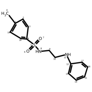 Cc1ccc(S(=O)(=O)NCCNc2ccccc2)cc1